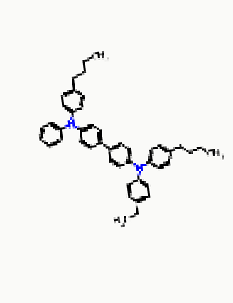 CCCCc1ccc(N(c2ccccc2)c2ccc(-c3ccc(N(c4ccc(CC)cc4)c4ccc(CCCC)cc4)cc3)cc2)cc1